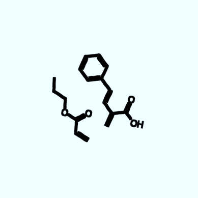 C=C(C=Cc1ccccc1)C(=O)O.C=CC(=O)OCCC